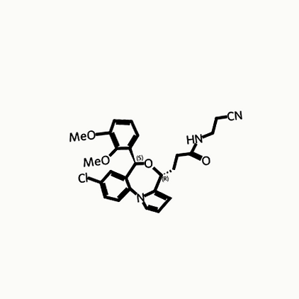 COc1cccc([C@H]2O[C@H](CCC(=O)NCCC#N)c3cccn3-c3ccc(Cl)cc32)c1OC